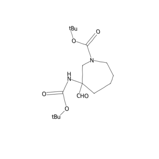 CC(C)(C)OC(=O)NC1(C=O)CCCCN(C(=O)OC(C)(C)C)C1